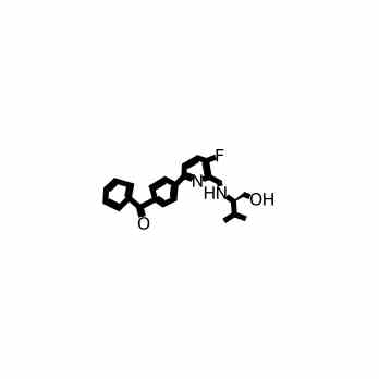 CC(C)[C@H](CO)NCc1nc(-c2ccc(C(=O)c3ccccc3)cc2)ccc1F